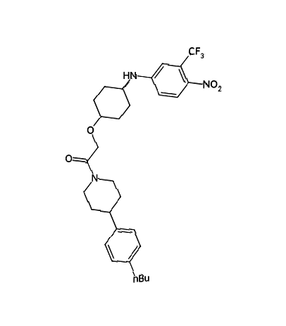 CCCCc1ccc(C2CCN(C(=O)COC3CCC(Nc4ccc([N+](=O)[O-])c(C(F)(F)F)c4)CC3)CC2)cc1